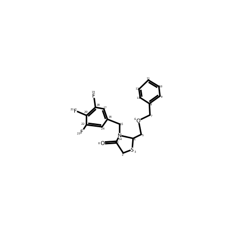 O=C1CSC(COCc2ccccc2)N1Cc1cc(F)c(F)c(F)c1